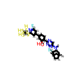 CN(c1cnc(-c2ccc(-c3cc(F)nc(SC(S)(S)S)c3)cc2O)nn1)[C@H]1C[C@]2(C)CC[C@@](C)(C2)[C@H]1F